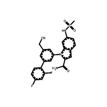 CS(=O)(=O)Nc1ccc2cc(C(N)=O)n(-c3cc(CC#N)cc(-c4ccc(F)cc4F)c3)c2c1